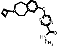 CNC(=O)c1cnc(Oc2ccc3c(c2)CCN(C2=CC=C2)CC3)cn1